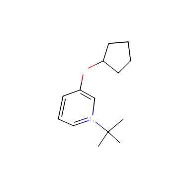 CC(C)(C)[n+]1cccc(OC2CCCC2)c1